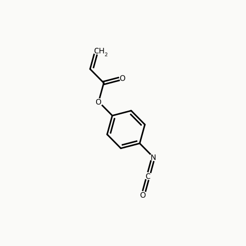 C=CC(=O)Oc1ccc(N=C=O)cc1